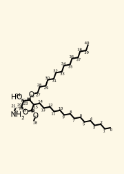 CCCCCCCCCCCCCCCC1[C@@H](OC)O[C@H](CN)[C@@H](O)[C@@H]1OCCCCCCCCCCCCCC